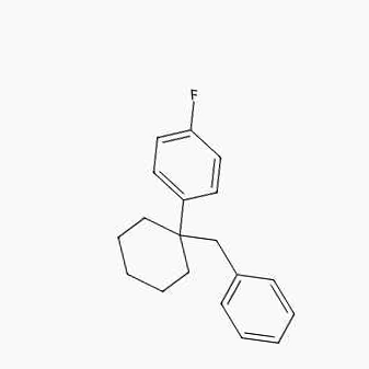 Fc1ccc(C2(Cc3ccccc3)CCCCC2)cc1